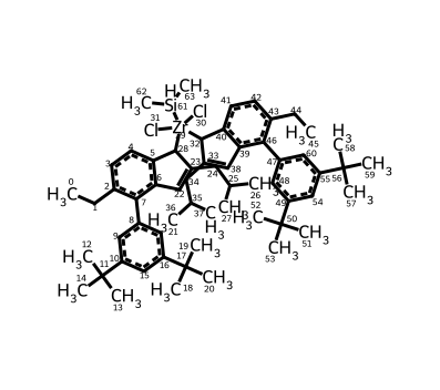 CCc1ccc2c(c1-c1cc(C(C)(C)C)cc(C(C)(C)C)c1)C=C(CC(C)C)[CH]2[Zr]([Cl])([Cl])([CH]1C(CC(C)C)=Cc2c1ccc(CC)c2-c1cc(C(C)(C)C)cc(C(C)(C)C)c1)[SiH](C)C